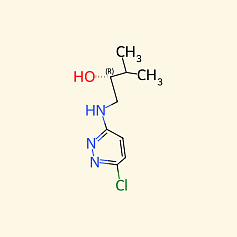 CC(C)[C@@H](O)CNc1ccc(Cl)nn1